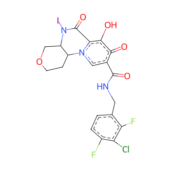 O=C(NCc1ccc(F)c(Cl)c1F)c1cn2c(c(O)c1=O)C(=O)N(I)C1COCCC12